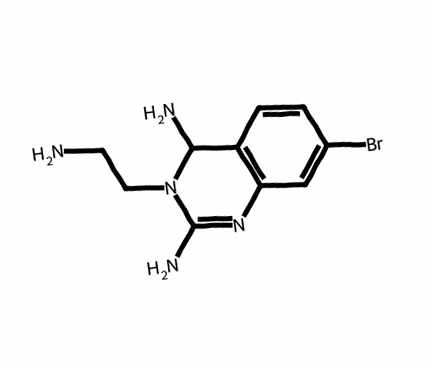 NCCN1C(N)=Nc2cc(Br)ccc2C1N